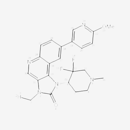 [2H]Cn1c(=O)n([C@H]2CCN(C)CC2(F)F)c2c3cc(-c4ccc(OC)nc4)ccc3ncc21